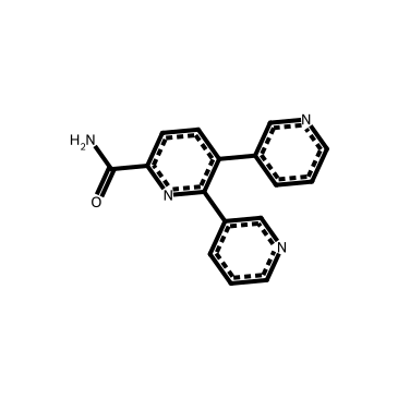 NC(=O)c1ccc(-c2cccnc2)c(-c2cccnc2)n1